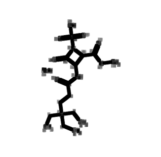 CC[Si](CC)(CC)CCC(=O)NC1C(=O)N(S(=O)(=O)O)C1C(=O)OC.[NaH]